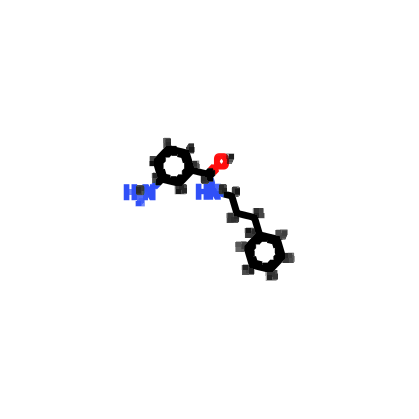 Nc1c[c]cc(C(=O)NCCCc2ccccc2)c1